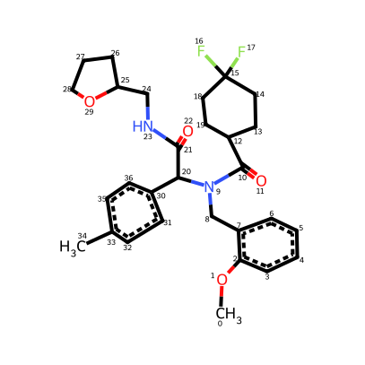 COc1ccccc1CN(C(=O)C1CCC(F)(F)CC1)C(C(=O)NCC1CCCO1)c1ccc(C)cc1